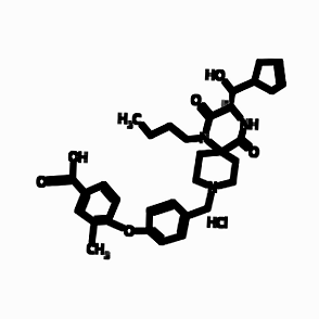 CCCCN1C(=O)[C@@H](C(O)C2CC=CC2)NC(=O)C12CCN(Cc1ccc(Oc3ccc(C(=O)O)cc3C)cc1)CC2.Cl